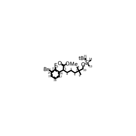 COC(=O)C(CCCC(C)(C)CO[Si](C)(C)C(C)(C)C)c1cccc(Br)c1F